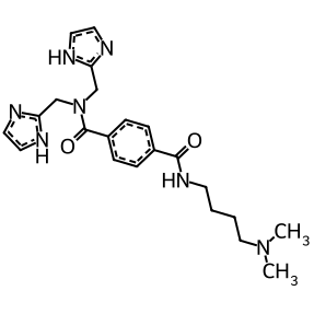 CN(C)CCCCNC(=O)c1ccc(C(=O)N(Cc2ncc[nH]2)Cc2ncc[nH]2)cc1